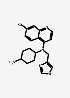 NC1CCC(N(Cc2c[nH]cn2)c2ccnc3cc(Cl)ccc23)CC1